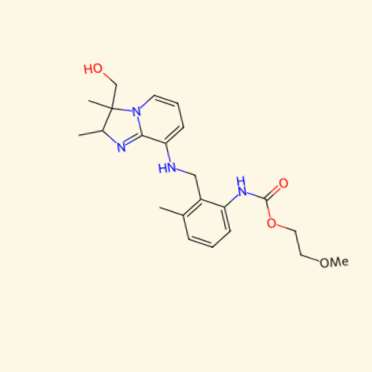 COCCOC(=O)Nc1cccc(C)c1CNC1=CC=CN2C1=NC(C)C2(C)CO